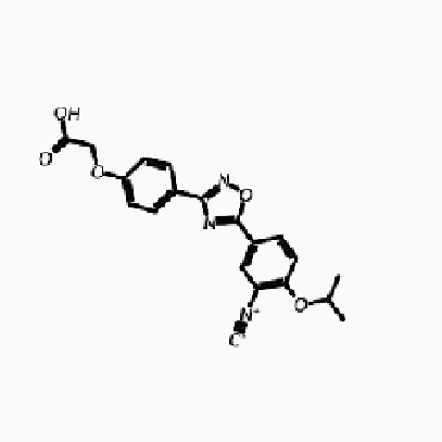 [C-]#[N+]c1cc(-c2nc(-c3ccc(OCC(=O)O)cc3)no2)ccc1OC(C)C